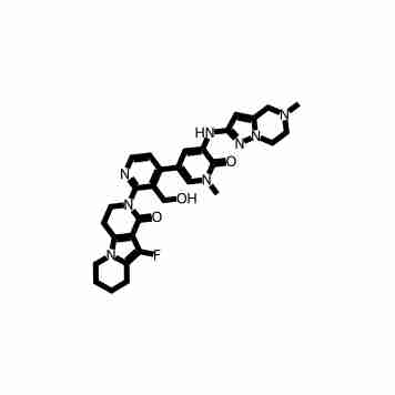 CN1CCn2nc(Nc3cc(-c4ccnc(N5CCc6c(c(F)c7n6CCCC7)C5=O)c4CO)cn(C)c3=O)cc2C1